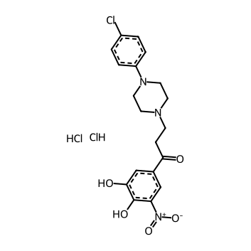 Cl.Cl.O=C(CCN1CCN(c2ccc(Cl)cc2)CC1)c1cc(O)c(O)c([N+](=O)[O-])c1